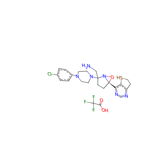 NCC1(N2CCN(c3ccc(Cl)cc3)CC2)CC[C@@]2(c3ncnc4c3[SH]CC4)ON12.O=C(O)C(F)(F)F